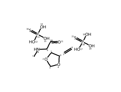 C1COCO1.C=C.CNCC=O.OP(O)(O)=S.OP(O)(O)=S